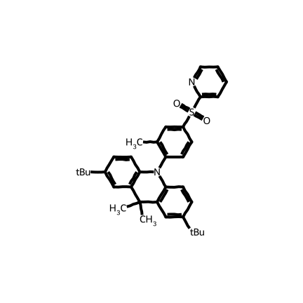 Cc1cc(S(=O)(=O)c2ccccn2)ccc1N1c2ccc(C(C)(C)C)cc2C(C)(C)c2cc(C(C)(C)C)ccc21